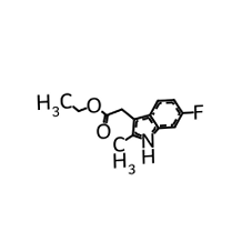 CCOC(=O)Cc1c(C)[nH]c2cc(F)ccc12